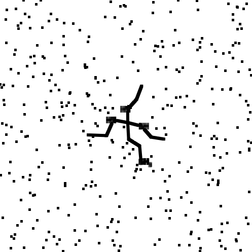 CCNC(CC[SiH3])(NCC)NCC